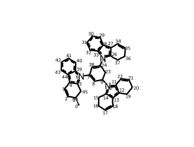 C[C@H]1C=Cc2c(n(C3=CC(n4c5c(c6c4CCC=C6)CCC=C5)CC(n4c5c(c6ccccc64)C=CCC5)=C3)c3ccccc23)C1